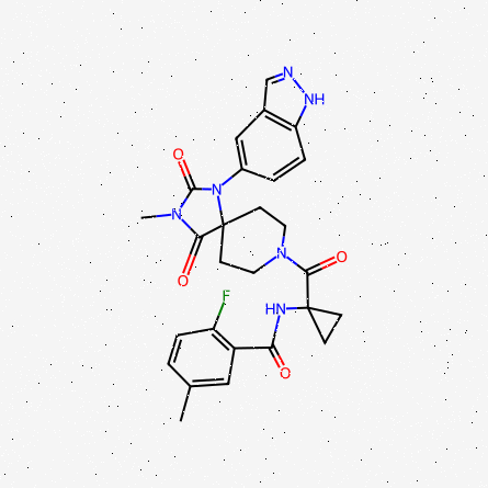 Cc1ccc(F)c(C(=O)NC2(C(=O)N3CCC4(CC3)C(=O)N(C)C(=O)N4c3ccc4[nH]ncc4c3)CC2)c1